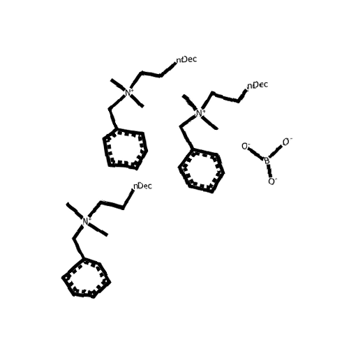 CCCCCCCCCCCC[N+](C)(C)Cc1ccccc1.CCCCCCCCCCCC[N+](C)(C)Cc1ccccc1.CCCCCCCCCCCC[N+](C)(C)Cc1ccccc1.[O-]B([O-])[O-]